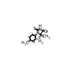 Cc1ccc(N2C(=S)NC(=O)C2(C)C)cc1